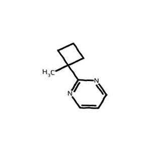 CC1(c2ncccn2)CCC1